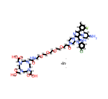 Cc1cc(F)cc(-c2cnc(N3CCN(C(=O)CCOCCOCCOCCOCCNC(=O)CN4CCN(CC(=O)O)CCN(CC(=O)O)CCN(CC(=O)O)CC4)CC3)c(-c3nc4cc(Cl)ccc4[nH]3)c2N2CCC(N)CC2)c1.[In]